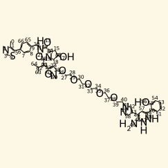 Cc1ncsc1-c1ccc(CNC(=O)[C@@H]2C[C@@H](O)CN2C(=O)[C@@H](c2cc(OCCOCCOCCOCCOCCn3cc(C4=C(N)NNC(c5ccccc5O)=C4)cn3)no2)C(C)C)cc1